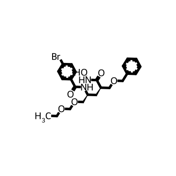 CCOCOC[C@H](C[C@H](COCc1ccccc1)C(=O)NO)NC(=O)c1ccc(Br)cc1